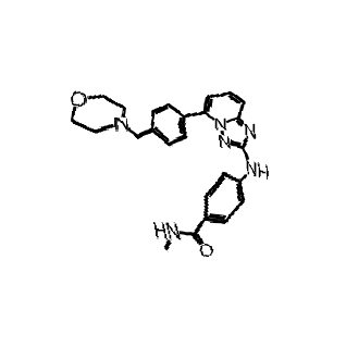 CNC(=O)c1ccc(Nc2nc3cccc(-c4ccc(CN5CCOCC5)cc4)n3n2)cc1